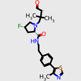 Cc1ncsc1-c1ccc(CCNC(=O)[C@@H]2C[C@H](F)CN2CC(C)(C)[CH]C=O)cc1